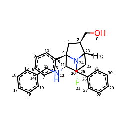 OC[C@@H]1C[C@@]2(c3ccccc3)[C@@H](NCc3ccccc3)[C@@H](F)C[C@@H]1N2Cc1ccccc1